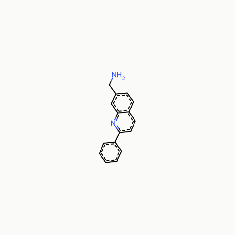 NCc1ccc2ccc(-c3ccccc3)nc2c1